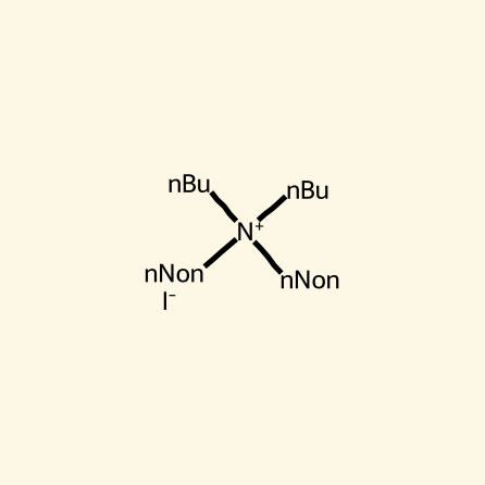 CCCCCCCCC[N+](CCCC)(CCCC)CCCCCCCCC.[I-]